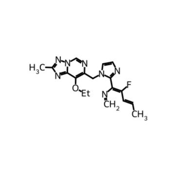 C=NC(=C(F)C=CC)c1nccn1Cc1ncn2nc(C)nc2c1OCC